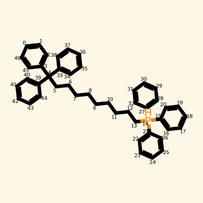 c1ccc(C(CCCCCCCCC[PH](c2ccccc2)(c2ccccc2)c2ccccc2)(c2ccccc2)c2ccccc2)cc1